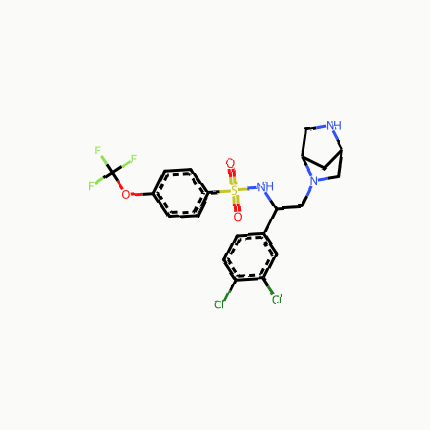 O=S(=O)(NC(CN1CC2CC1CN2)c1ccc(Cl)c(Cl)c1)c1ccc(OC(F)(F)F)cc1